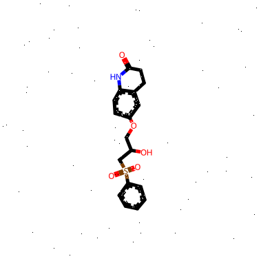 O=C1CCc2cc(OCC(O)CS(=O)(=O)c3ccccc3)ccc2N1